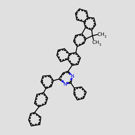 CC1(C)c2cc(-c3ccc(-c4cc(-c5cccc(-c6ccc(-c7ccccc7)cc6)c5)nc(-c5ccccc5)n4)c4ccccc34)ccc2-c2c1ccc1ccccc21